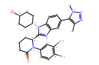 Cc1nnn(C)c1-c1ccc2c(c1)nc([C@@H]1CCCC(=O)N1c1ccc(F)c(F)c1)n2[C@H]1CC[C@H](O)CC1